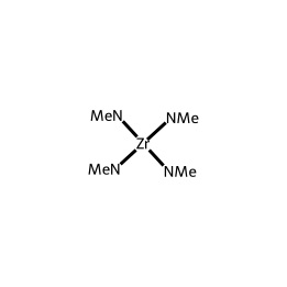 C[NH][Zr]([NH]C)([NH]C)[NH]C